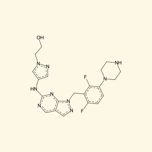 OCCn1cc(Nc2ncc3cnn(Cc4c(F)ccc(N5CCNCC5)c4F)c3n2)cn1